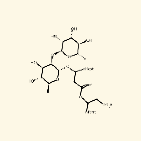 CCCCCCCC(CC(=O)OC(CCCCC)CC(=O)O)O[C@@H]1O[C@@H](C)[C@H](O)[C@@H](O)[C@H]1O[C@@H]1O[C@@H](C)[C@H](O)[C@@H](O)[C@H]1O